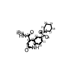 CCC(C)NC(=O)c1cc(=O)[nH]c2ccc(S(=O)(=O)N3CCCCC3)cc12